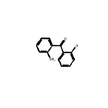 Nc1cc[c]cc1C(=O)c1ccccc1Cl